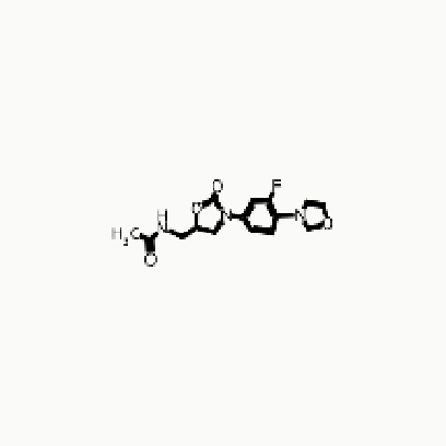 CC(=O)NCC1CN(c2ccc(N3CCOC3)c(F)c2)C(=O)O1